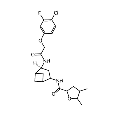 CC1CC(C(=O)NC2C[C@H](NC(=O)COc3ccc(Cl)c(F)c3)C3CC2C3)OC1C